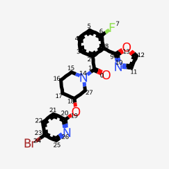 O=C(c1cccc(F)c1-c1ncco1)N1CCCC(Oc2ccc(Br)cn2)C1